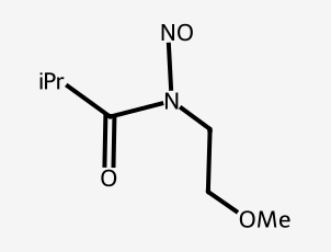 COCCN(N=O)C(=O)C(C)C